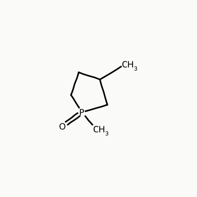 CC1CCP(C)(=O)C1